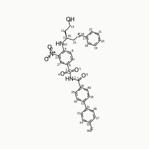 O=C(NS(=O)(=O)c1ccc(N[C@@H](CCO)CSc2ccccc2)c([N+](=O)[O-])c1)c1ccc(-c2ccc(F)cc2)cc1